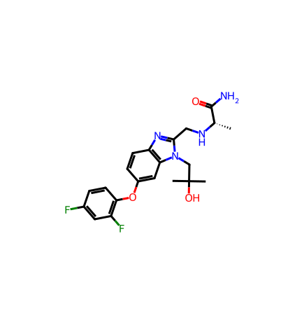 C[C@H](NCc1nc2ccc(Oc3ccc(F)cc3F)cc2n1CC(C)(C)O)C(N)=O